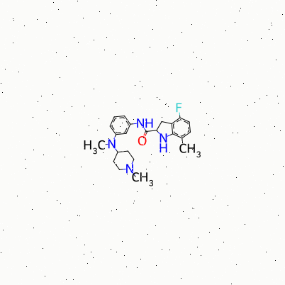 Cc1ccc(F)c2c1NC(C(=O)Nc1cccc(N(C)C3CCN(C)CC3)c1)C2